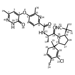 Cc1cc(Oc2ccc(C(=O)N[C@H](C)C(=O)N3[C@H](C4(C)C=C(Cl)C(F)=CC4)CC[C@@H]3C(C)(C)C#N)nc2C)c(=O)[nH]n1